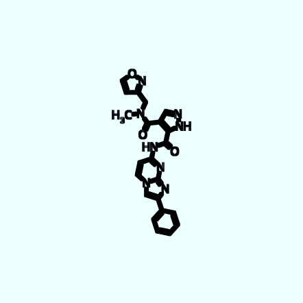 CN(Cc1ccon1)C(=O)c1cn[nH]c1C(=O)Nc1ccn2cc(-c3ccccc3)nc2n1